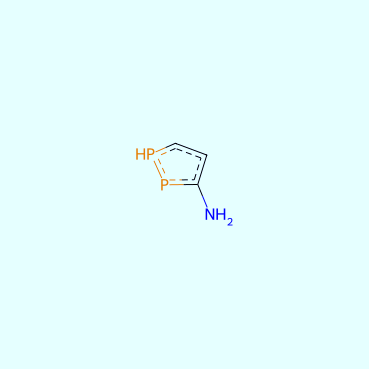 Nc1cc[pH]p1